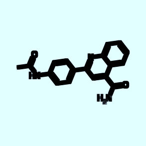 CC(=O)Nc1ccc(-c2cc(C(N)=O)c3ccccc3n2)cc1